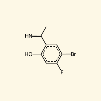 CC(=N)c1cc(Br)c(F)cc1O